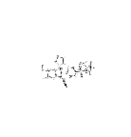 CCc1cc2c(cc1F)c(C#N)c(-c1ccc(S(=O)(=O)NC3(C(F)(F)F)CC3)cn1)n2C1CCCC1